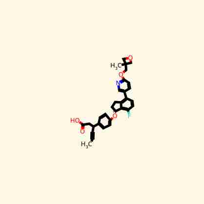 CC#CC(CC(=O)O)c1ccc(O[C@@H]2CCc3c(-c4ccc(OCC5(C)COC5)nc4)ccc(F)c32)cc1